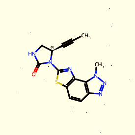 CC#C[C@@H]1CNC(=O)N1c1nc2c(ccc3nnn(C)c32)s1